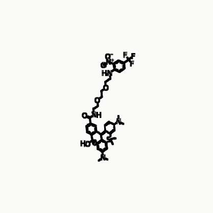 CN(C)c1ccc2c(c1)[Si](C)(C)C1=CC(N(C)C)C=CC1=C2c1cc(C(=O)NCCOCCOCCNc2ccc(C(F)(F)F)cc2[N+](=O)[O-])ccc1C(=O)O